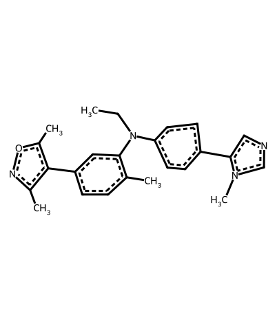 CCN(c1ccc(-c2cncn2C)cc1)c1cc(-c2c(C)noc2C)ccc1C